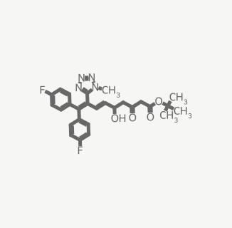 Cn1nnnc1C(C=CC(O)CC(=O)CC(=O)OC(C)(C)C)=C(c1ccc(F)cc1)c1ccc(F)cc1